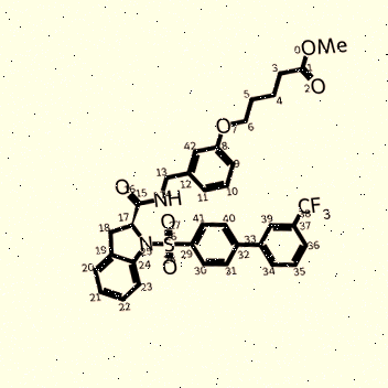 COC(=O)CCCCOc1cccc(CNC(=O)[C@@H]2Cc3ccccc3N2S(=O)(=O)c2ccc(-c3cccc(C(F)(F)F)c3)cc2)c1